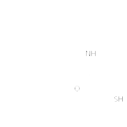 O=C(CS)Nc1ccc2c(c1)CCC2